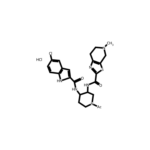 CC(=O)N1CCC(NC(=O)c2cc3cc(Cl)ccc3[nH]2)C(NC(=O)c2nc3c(s2)CN(C)CC3)C1.Cl